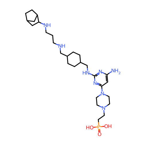 Nc1cc(N2CCN(CCP(=O)(O)O)CC2)nc(NCC2CCC(CNCCCNC3CC4CCC3C4)CC2)n1